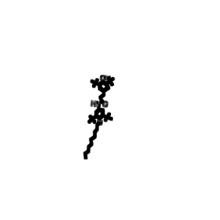 CCCCCCCCCCOc1c(C(C)(C)C)cc(NC(=O)CCc2cc(C(C)(C)C)c(O)c(C(C)(C)C)c2)cc1C(C)(C)C